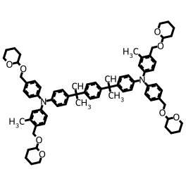 Cc1cc(N(c2ccc(COC3CCCCO3)cc2)c2ccc(C(C)(C)c3ccc(C(C)(C)c4ccc(N(c5ccc(COC6CCCCO6)cc5)c5ccc(COC6CCCCO6)c(C)c5)cc4)cc3)cc2)ccc1COC1CCCCO1